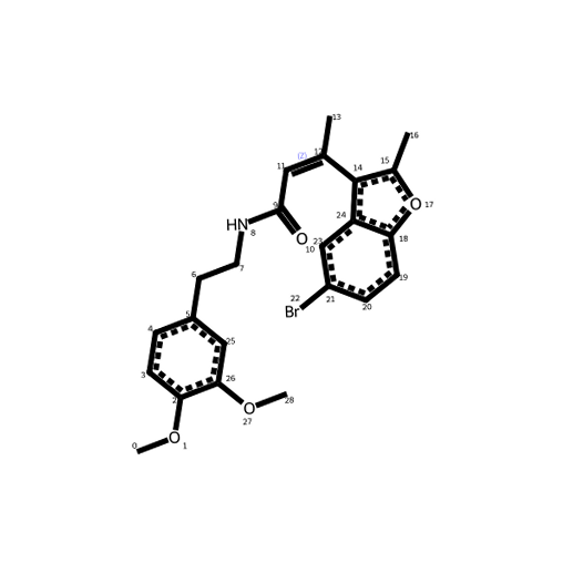 COc1ccc(CCNC(=O)/C=C(/C)c2c(C)oc3ccc(Br)cc23)cc1OC